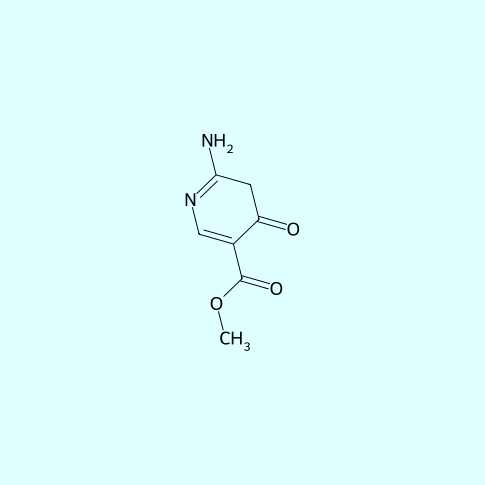 COC(=O)C1=CN=C(N)CC1=O